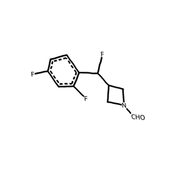 O=CN1CC(C(F)c2ccc(F)cc2F)C1